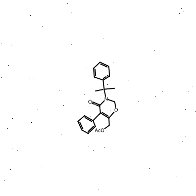 CC(=O)OCC1=C(c2ccccc2)C(=O)N(C(C)(C)c2ccccc2)CO1